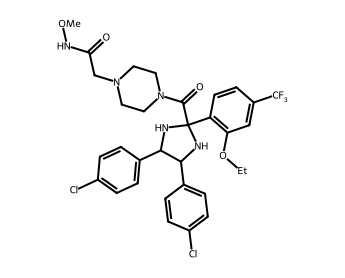 CCOc1cc(C(F)(F)F)ccc1C1(C(=O)N2CCN(CC(=O)NOC)CC2)NC(c2ccc(Cl)cc2)C(c2ccc(Cl)cc2)N1